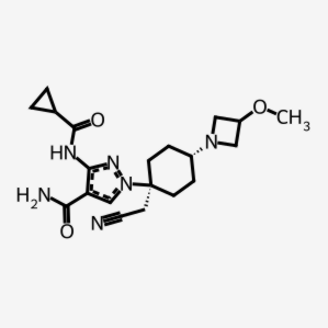 COC1CN([C@H]2CC[C@](CC#N)(n3cc(C(N)=O)c(NC(=O)C4CC4)n3)CC2)C1